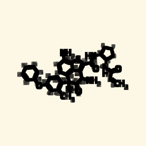 C=CC(=O)N[C@H]1CCC[C@@H]1NC(=O)c1sc2c(N)ccc3c2c1C(N)C(=O)C3(N)c1ccc(Oc2ccccc2)cc1C